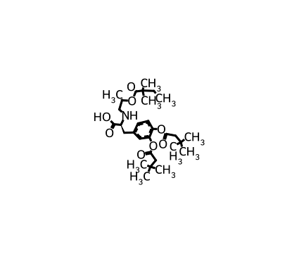 CCC(C)(C)C(=O)OC(C)CN[C@@H](Cc1ccc(OC(=O)CC(C)(C)C)c(OC(=O)CC(C)(C)C)c1)C(=O)O